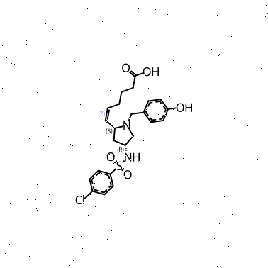 O=C(O)CCC/C=C\[C@@H]1C[C@@H](NS(=O)(=O)c2ccc(Cl)cc2)CN1Cc1ccc(O)cc1